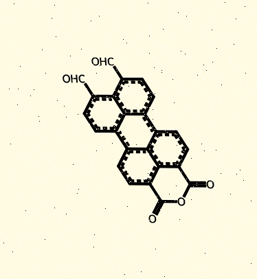 O=Cc1ccc2c3ccc4c5c(ccc(c6ccc(C=O)c1c26)c53)C(=O)OC4=O